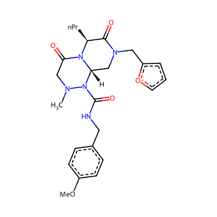 CCC[C@H]1C(=O)N(Cc2ccco2)C[C@H]2N1C(=O)CN(C)N2C(=O)NCc1ccc(OC)cc1